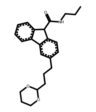 CCCNC(=O)C1c2ccccc2-c2cc(CCCC3OCCCO3)ccc21